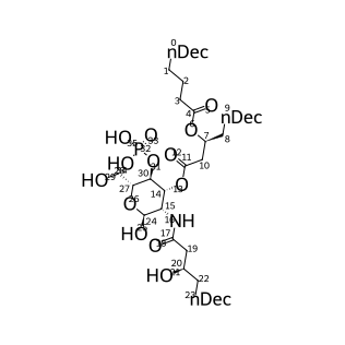 CCCCCCCCCCCCCC(=O)O[C@@H](CCCCCCCCCCC)CC(=O)O[C@@H]1[C@H](NC(=O)C[C@H](O)CCCCCCCCCCC)[C@@H](O)O[C@H](CO)[C@H]1OP(=O)(O)O